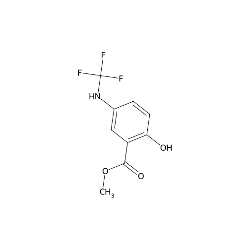 COC(=O)c1cc(NC(F)(F)F)ccc1O